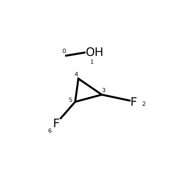 CO.FC1CC1F